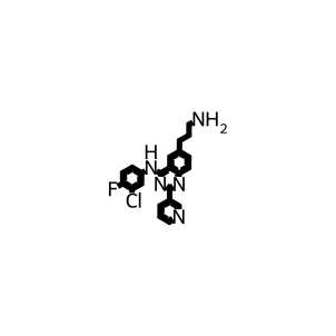 NCCCc1ccc2nc(-c3cccnc3)nc(Nc3ccc(F)c(Cl)c3)c2c1